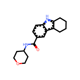 O=C(NC1CCOCC1)c1ccc2[nH]c3c(c2c1)CCCC3